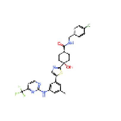 Cc1cc(Nc2nccc(C(F)(F)F)n2)cc(-c2cnc([C@]3(O)CC[C@@H](C(=O)NCc4ccc(Cl)cc4)CC3)s2)c1